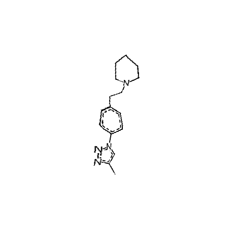 Cc1cn(-c2ccc(CCN3CCCCC3)cc2)nn1